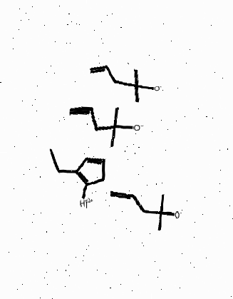 C=CCC(C)(C)[O-].C=CCC(C)(C)[O-].C=CCC(C)(C)[O-].CCC1=[C]([Hf+3])CC=C1